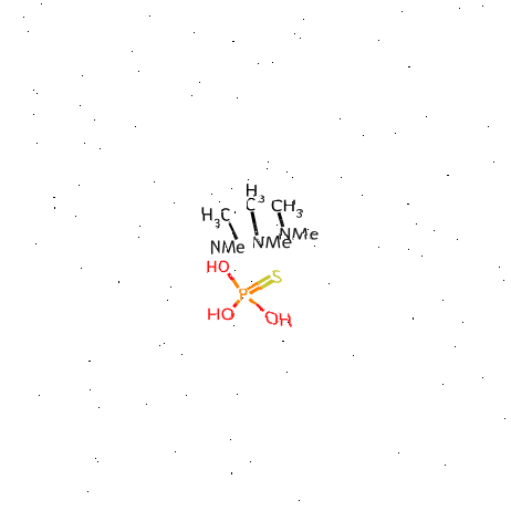 CNC.CNC.CNC.OP(O)(O)=S